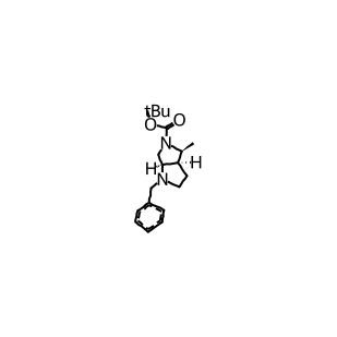 C[C@H]1[C@H]2CCN(Cc3ccccc3)[C@H]2CN1C(=O)OC(C)(C)C